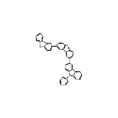 c1ccc(-n2c3ccccc3c3cc(-c4ccc5sc6ccc(-c7ccc8sc9ccccc9c8c7)cc6c5c4)ccc32)cc1